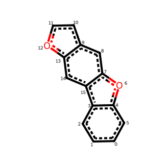 c1ccc2c(c1)oc1cc3ccoc3cc12